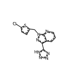 Clc1ccc(Cn2nc(-c3nnn[nH]3)c3cccnc32)s1